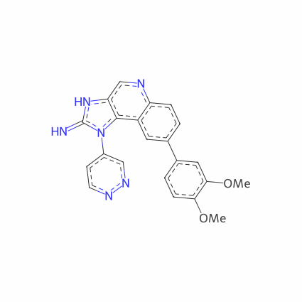 COc1ccc(-c2ccc3ncc4[nH]c(=N)n(-c5ccnnc5)c4c3c2)cc1OC